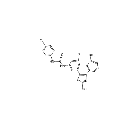 CC(C)(C)c1nc(-c2ccnc(N)n2)c(-c2cc(F)cc(NC(=O)Nc3ccc(Cl)cc3)c2)s1